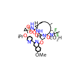 COc1ccc2c(O[C@@H]3C[C@H]4C(=O)N[C@]5(C(=O)NS(=O)(=O)C6(C)CC6)C[C@H]5/C=C\CC[C@@H](C)C[C@@H](C)[C@H](N(C(=O)O)C(C)(C)C(C)(F)F)C(=O)N4C3)nc(-c3ccc(OC(C)C)cn3)cc2c1